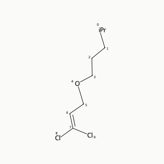 CC(C)CCCOCC=C(Cl)Cl